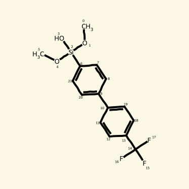 CO[Si](O)(OC)c1ccc(-c2ccc(C(F)(F)F)cc2)cc1